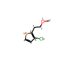 COCCc1sccc1Cl